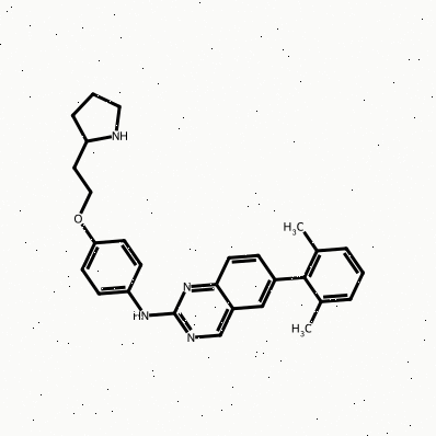 Cc1cccc(C)c1-c1ccc2nc(Nc3ccc(OCCC4CCCN4)cc3)ncc2c1